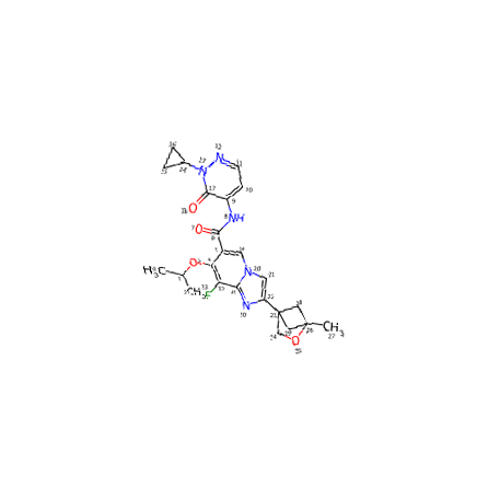 CC(C)Oc1c(C(=O)Nc2ccnn(C3CC3)c2=O)cn2cc(C34COC(C)(C3)C4)nc2c1F